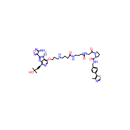 CCn1c(-c2nonc2N)nc2c(C#CC(C)(C)O)ncc(OCCCNCCCC(=O)NCCCC(=O)NCC(=O)N3CCC[C@H]3C(=O)NCc3ccc(-c4scnc4C)cc3)c21